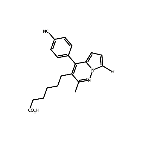 CCc1ccc2c(-c3ccc(C#N)cc3)c(CCCCCC(=O)O)c(C)nn12